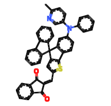 Cc1ccc(N(c2ccccc2)c2ccc3c(c2)C2(c4ccccc4-c4ccccc42)c2cc(C=C4C(=O)c5ccccc5C4=O)sc2-3)cn1